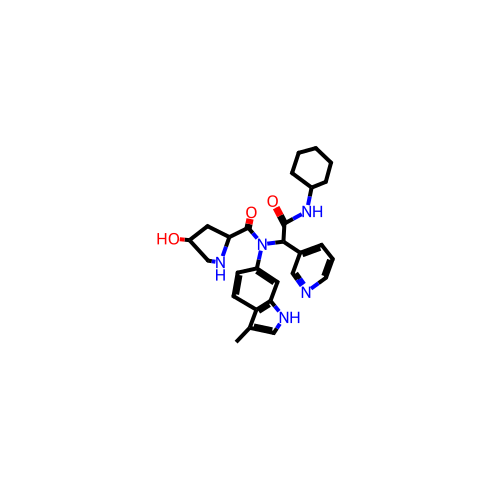 Cc1c[nH]c2cc(N(C(=O)C3CC(O)CN3)C(C(=O)NC3CCCCC3)c3cccnc3)ccc12